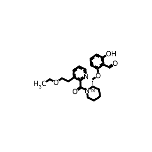 CCOCCc1cccnc1C(=O)N1CCCC[C@H]1COc1cccc(O)c1C=O